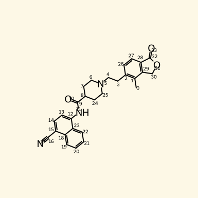 Cc1c(CCN2CCC(C(=O)Nc3ccc(C#N)c4ccccc34)CC2)ccc2c1COC2=O